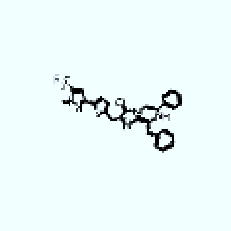 Cn1nc(-c2ccc(Cc3nc4c(Cc5ccccc5)[nH]c(-c5ccccc5)cn-4c3=O)s2)cc1C(F)(F)F